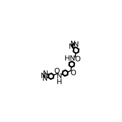 Cn1nnc2cc(C(=O)Nc3ccc(C(=O)c4ccc(NC(=O)c5ccc6c(c5)nnn6C)cc4)cc3)ccc21